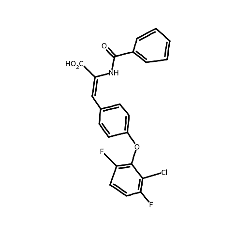 O=C(O)C(=Cc1ccc(Oc2c(F)ccc(F)c2Cl)cc1)NC(=O)c1ccccc1